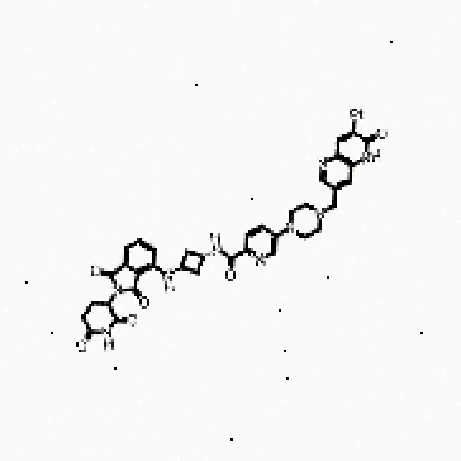 CCc1cc2ncc(CN3CCN(c4ccc(C(=O)N[C@H]5C[C@H](Nc6cccc7c6C(=O)N(C6CCC(=O)NC6=O)C7=O)C5)nc4)CC3)cc2[nH]c1=O